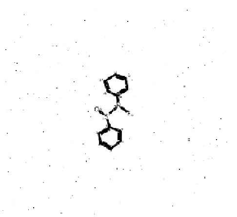 [O-][S+](c1ccccc1)N(F)c1ccccc1